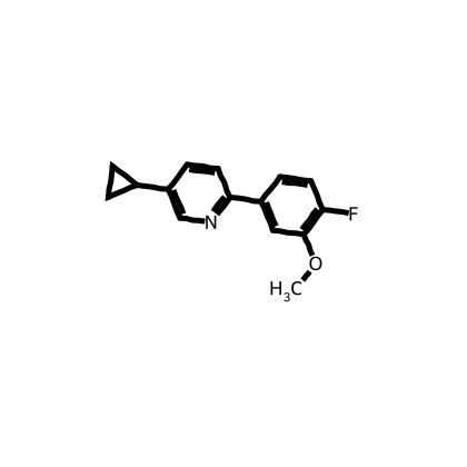 COc1cc(-c2ccc(C3CC3)cn2)ccc1F